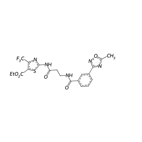 CCOC(=O)c1sc(NC(=O)CCNC(=O)c2cccc(-c3noc(C)n3)c2)nc1C(F)(F)F